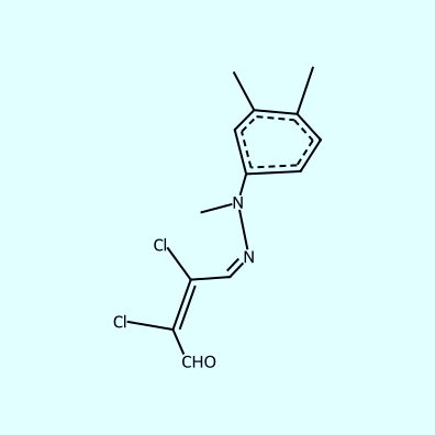 Cc1ccc(N(C)/N=C\C(Cl)=C(\Cl)C=O)cc1C